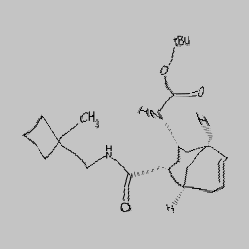 CC1(CNC(=O)[C@@H]2[C@H](NC(=O)OC(C)(C)C)[C@H]3C=C[C@@H]2C3)CCC1